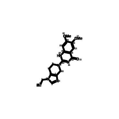 CCC(C)Cn1cnc2c1CCN(c1nc(=O)c3cc(OC)c(OC)cc3[nH]1)C2